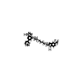 FC(F)(F)c1ccc2[nH]c(CNCCCCOCCNc3cc(-c4ccnnc4)cc4[nH]nnc34)cc2c1